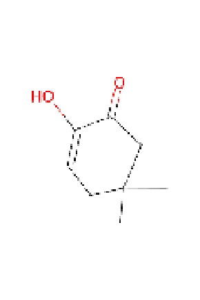 CC1(C)CC=C(O)C(=O)C1